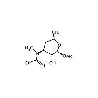 CCC(=O)N(C)[C@H]1C[C@@H](C)O[C@@H](OC)[C@@H]1O